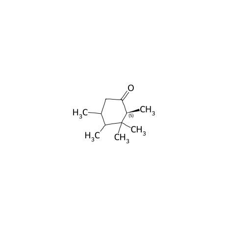 CC1CC(=O)[C@@H](C)C(C)(C)C1C